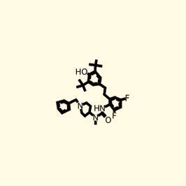 CN(C(=O)Nc1c(F)cc(F)cc1CCc1cc(C(C)(C)C)c(O)c(C(C)(C)C)c1)C1CCN(Cc2ccccc2)CC1